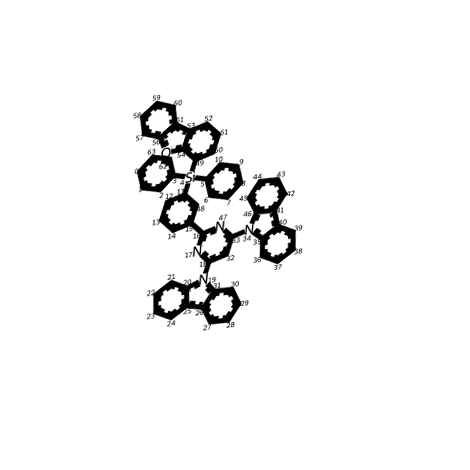 c1ccc([Si](c2ccccc2)(c2cccc(-c3nc(-n4c5ccccc5c5ccccc54)cc(-n4c5ccccc5c5ccccc54)n3)c2)c2cccc3c2oc2ccccc23)cc1